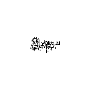 N#Cc1ccc(Nc2nccc(C(=O)Nc3cnccc3-c3ccccc3)n2)c(Cl)c1